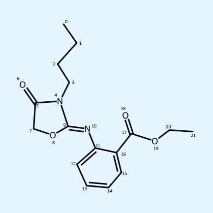 CCCCN1C(=O)COC1=Nc1ccccc1C(=O)OCC